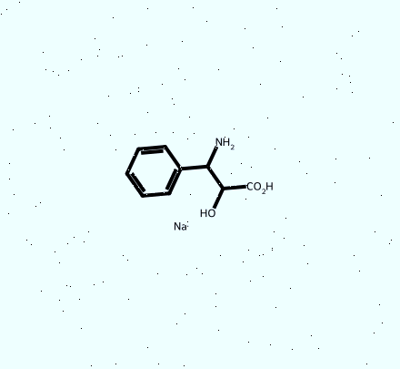 NC(c1ccccc1)C(O)C(=O)O.[Na]